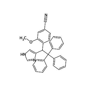 COc1cc(C#N)ccc1C(c1c[nH]cn1)C(c1ccccc1)(c1ccccc1)c1ccccc1